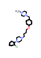 CN1CCN(Cc2ccc(OCCCCN3CCN(c4ccccc4Cl)CC3)cc2)CC1